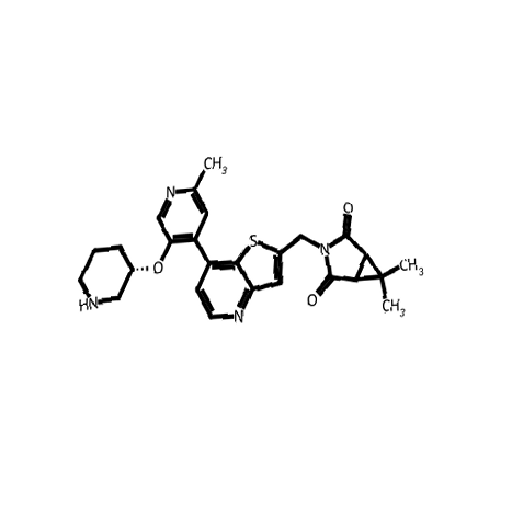 Cc1cc(-c2ccnc3cc(CN4C(=O)C5C(C4=O)C5(C)C)sc23)c(O[C@H]2CCCNC2)cn1